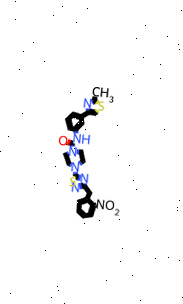 Cc1nc(-c2cccc(NC(=O)N3CCN(c4nc(Cc5ccccc5[N+](=O)[O-])ns4)CC3)c2)cs1